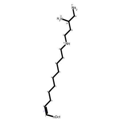 CCCCCCCC/C=C\CCCCCCCCNCCC(N)CN